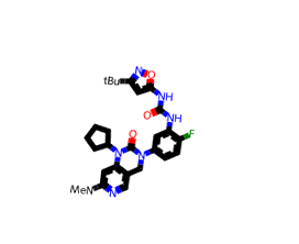 CNc1cc2c(cn1)CN(c1ccc(F)c(NC(=O)Nc3cc(C(C)(C)C)no3)c1)C(=O)N2C1CCCC1